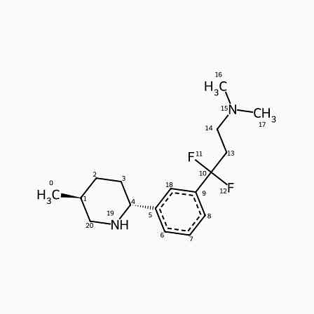 C[C@H]1CC[C@H](c2cccc(C(F)(F)CCN(C)C)c2)NC1